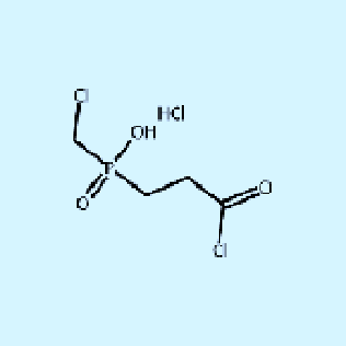 Cl.O=C(Cl)CCP(=O)(O)CCl